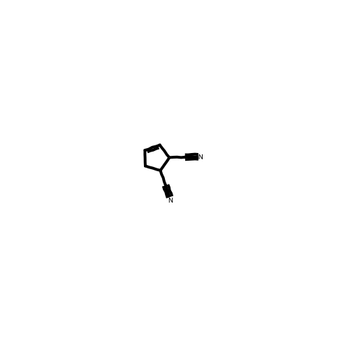 N#CC1C=CCC1C#N